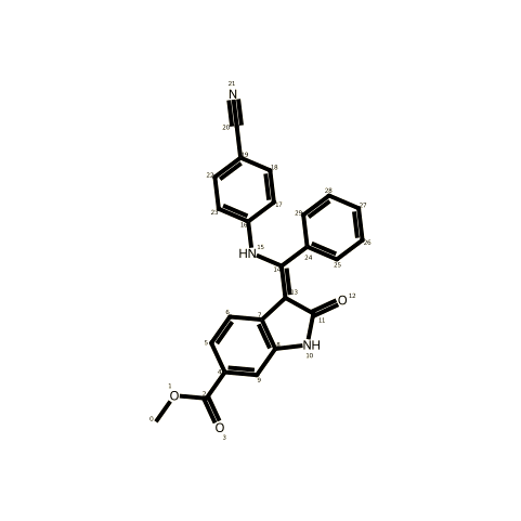 COC(=O)c1ccc2c(c1)NC(=O)C2=C(Nc1ccc(C#N)cc1)c1ccccc1